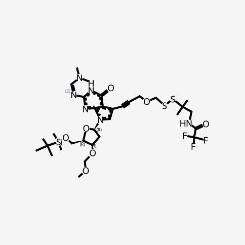 COCO[C@@H]1C[C@H](n2cc(C#CCOCSSC(C)(C)CNC(=O)C(F)(F)F)c3c(=O)[nH]c(/N=C\N(C)C)nc32)O[C@@H]1CO[Si](C)(C)C(C)(C)C